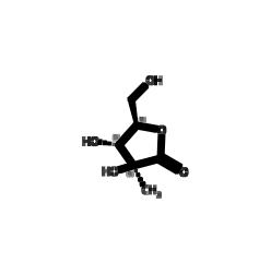 C[C@@]1(O)C(=O)O[C@H](CO)[C@H]1O